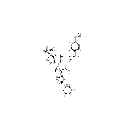 CS(=O)(=O)n1ccc(C(=O)N[C@@H](COCc2ccc(CN)cc2)C(=O)Nc2nc(-c3ccccc3)cs2)c1